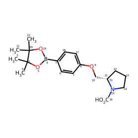 CC1(C)OB(c2ccc(OC[C@@H]3CCCN3C(=O)O)cc2)OC1(C)C